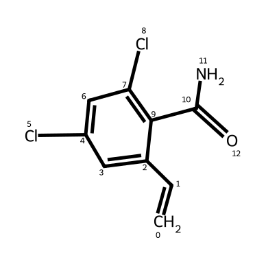 C=Cc1cc(Cl)cc(Cl)c1C(N)=O